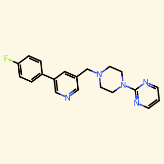 Fc1ccc(-c2cncc(CN3CCN(c4ncccn4)CC3)c2)cc1